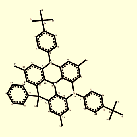 Cc1cc2c3c(c1)N(c1ccc(C(C)(C)C)cc1)c1cc(C)cc4c1B3c1c(cc(C)cc1C4(C)c1ccccc1)N2c1ccc(C(C)(C)C)cc1